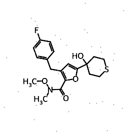 CON(C)C(=O)c1oc(C2(O)CCSCC2)cc1Cc1ccc(F)cc1